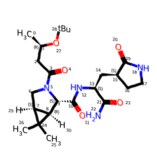 C[C@H](CC(=O)N1C[C@H]2[C@@H]([C@H]1C(=O)N[C@@H](C[C@@H]1CCNC1=O)C(N)=O)C2(C)C)OC(C)(C)C